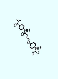 CSC(=O)N[C@H]1CC[C@H](OCCCC(=O)N[C@H]2CC[C@@H](C(=O)C(C)C)CC2)CC1